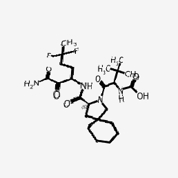 CC(F)(F)CCC(NC(=O)[C@@H]1CC2(CCCCC2)CN1C(=O)C(NC(=O)O)C(C)(C)C)C(=O)C(N)=O